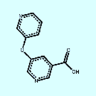 O=C(O)c1cncc(Oc2cccnc2)c1